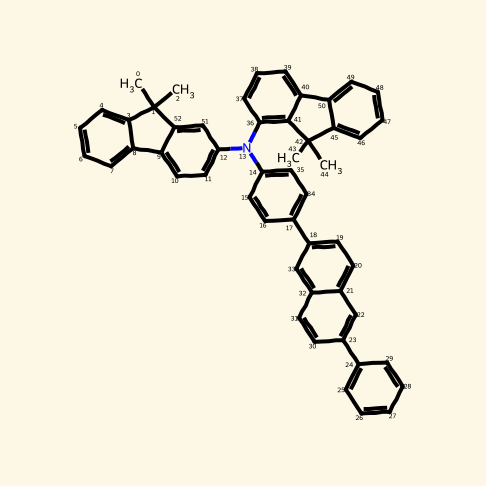 CC1(C)c2ccccc2-c2ccc(N(c3ccc(-c4ccc5cc(-c6ccccc6)ccc5c4)cc3)c3cccc4c3C(C)(C)c3ccccc3-4)cc21